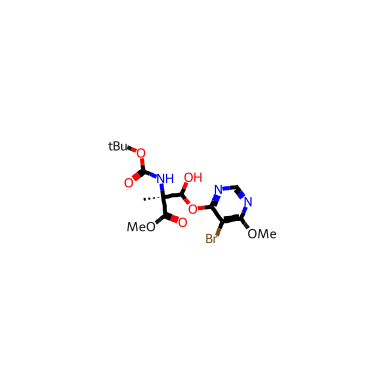 COC(=O)[C@@](C)(NC(=O)OC(C)(C)C)C(O)Oc1ncnc(OC)c1Br